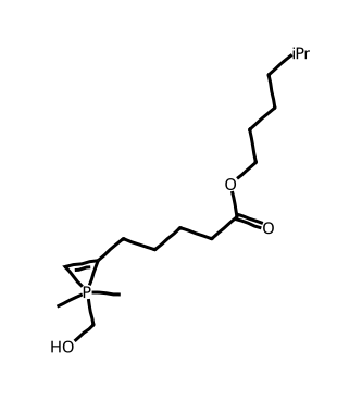 CC(C)CCCCOC(=O)CCCCC1=CP1(C)(C)CO